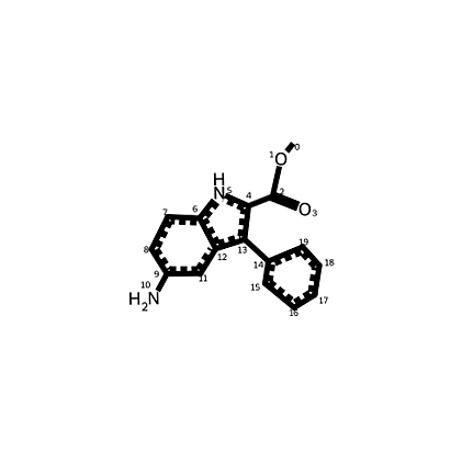 COC(=O)c1[nH]c2ccc(N)cc2c1-c1ccccc1